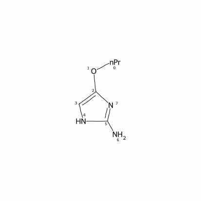 CCCOc1c[nH]c(N)n1